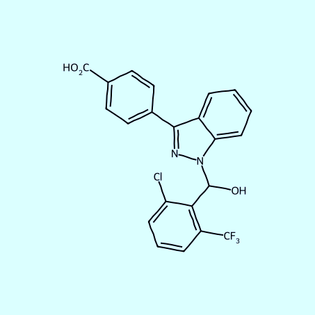 O=C(O)c1ccc(-c2nn(C(O)c3c(Cl)cccc3C(F)(F)F)c3ccccc23)cc1